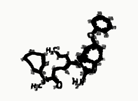 CCCC(CCC(=O)N(C)C1CCCCC1)n1c(N)nc2ccc(Oc3ccccc3)cc21